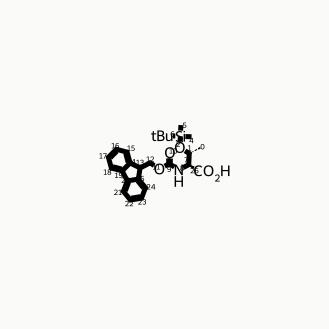 C[C@@H](O[Si](C)(C)C(C)(C)C)[C@H](NC(=O)OCC1c2ccccc2-c2ccccc21)C(=O)O